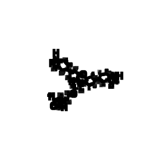 c1cc2c(cc1-c1ccc3[nH]ncc3c1)Oc1cc(-c3ccc4[nH]ncc4c3)cnc1N2CCOCCN1C[C@H]2C[C@@H]1CO2